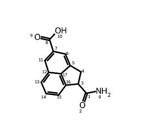 NC(=O)C1Cc2cc(C(=O)O)cc3cccc1c23